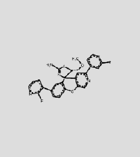 COC[C@H]1SC(N)=N[C@]12c1cc(-c3cccnc3F)ccc1Oc1cnc(-c3ccnc(F)c3)cc12